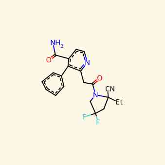 CCC1(C#N)CC(F)(F)CN1C(=O)Cc1nccc(C(N)=O)c1-c1ccccc1